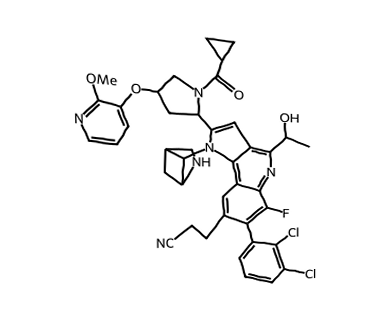 COc1ncccc1OC1CC(c2cc3c(C(C)O)nc4c(F)c(-c5cccc(Cl)c5Cl)c(CCC#N)cc4c3n2C2C3CNC2C3)N(C(=O)C2CC2)C1